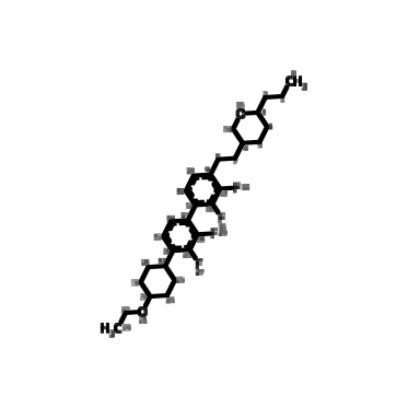 CCCC1CCC(CCc2ccc(-c3ccc(C4CCC(OCC)CC4)c(F)c3F)c(F)c2F)CO1